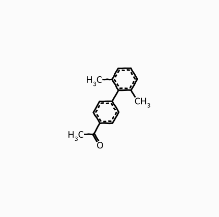 CC(=O)c1ccc(-c2c(C)cccc2C)cc1